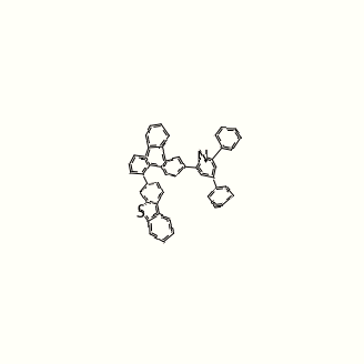 c1ccc(-c2cc(-c3ccccc3)nc(-c3ccc4c(c3)c3ccccc3c3cccc(-c5ccc6c(c5)sc5ccccc56)c34)c2)cc1